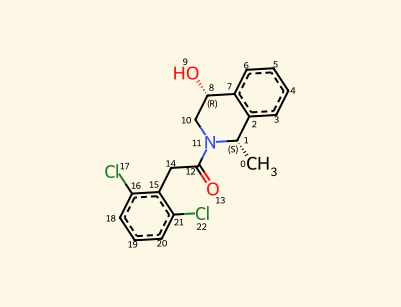 C[C@H]1c2ccccc2[C@@H](O)CN1C(=O)Cc1c(Cl)cccc1Cl